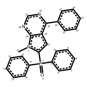 Cn1c(P(=O)(c2ccccc2)c2ccccc2)cc2c(-c3ccccc3)ncnc21